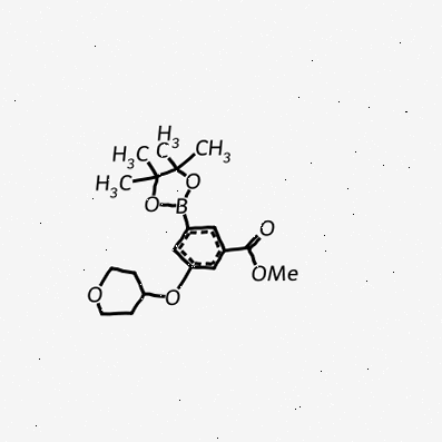 COC(=O)c1cc(OC2CCOCC2)cc(B2OC(C)(C)C(C)(C)O2)c1